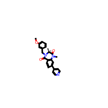 COc1cccc(CN2C(=O)c3ccc(-c4ccncc4)cc3N(C)C(=O)[C@@H]2C)c1